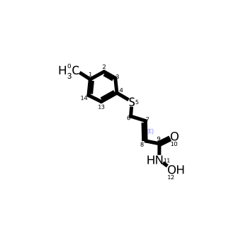 Cc1ccc(SC/C=C/C(=O)NO)cc1